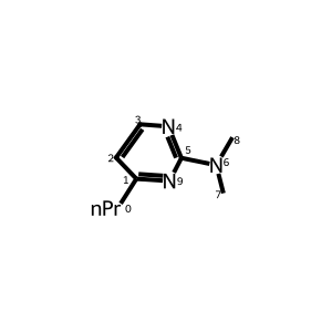 CCCc1ccnc(N(C)C)n1